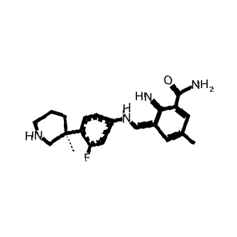 CC1=C/C(=C/Nc2ccc([C@]3(C)CCCNC3)c(F)c2)C(=N)C(C(N)=O)=C1